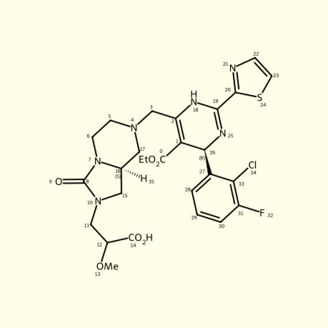 CCOC(=O)C1=C(CN2CCN3C(=O)N(CC(OC)C(=O)O)C[C@@H]3C2)NC(c2nccs2)=N[C@H]1c1cccc(F)c1Cl